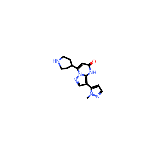 Cn1nccc1-c1cnn2c(C3CCNCC3)cc(=O)[nH]c12